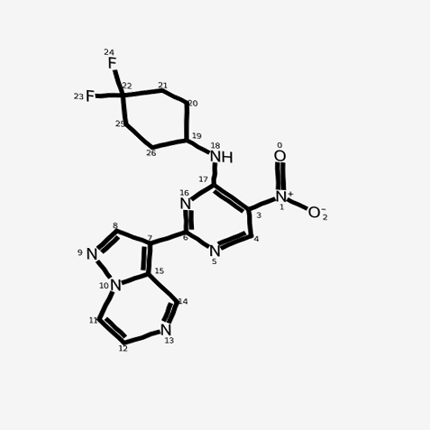 O=[N+]([O-])c1cnc(-c2cnn3ccncc23)nc1NC1CCC(F)(F)CC1